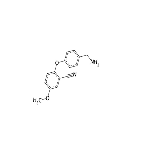 COc1ccc(Oc2ccc(CN)cc2)c(C#N)c1